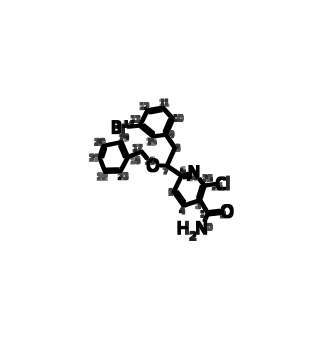 NC(=O)c1ccc(C(Cc2cccc(Br)c2)OCc2ccccc2)nc1Cl